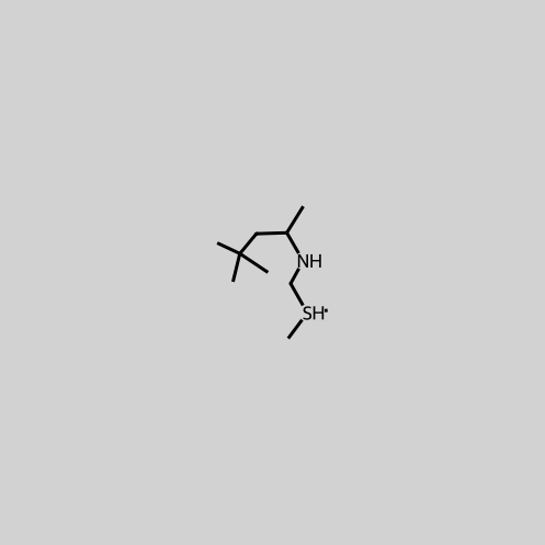 CC(CC(C)(C)C)NC[SH](C)C